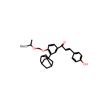 COC(C)OCOc1ccc(C(=O)C=Cc2ccc(O)cc2)cc1C12CC3CC(CC(C3)C1)C2